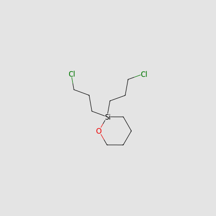 ClCCC[Si]1(CCCCl)CCCCO1